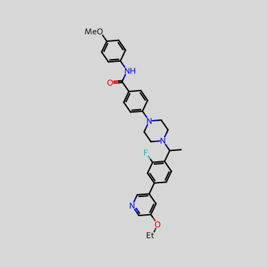 CCOc1cncc(-c2ccc(C(C)N3CCN(c4ccc(C(=O)Nc5ccc(OC)cc5)cc4)CC3)c(F)c2)c1